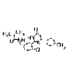 Cc1ccc(-c2cc(=O)[nH]c(-c3cc(CNC(=O)C(C)C)ccc3Cl)n2)cc1